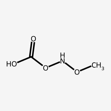 CONOC(=O)O